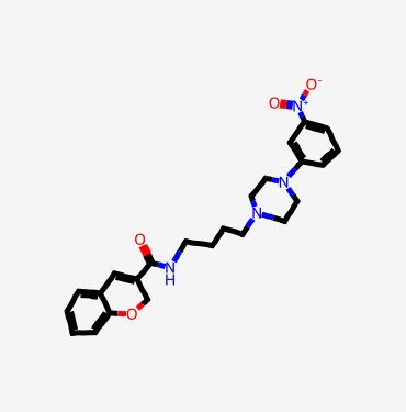 O=C(NCCCCN1CCN(c2cccc([N+](=O)[O-])c2)CC1)C1=Cc2ccccc2OC1